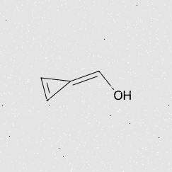 OC=C1C=C1